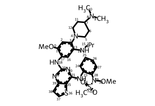 COc1cc(N2CCC(N(C)C)CC2)c(NC(C)C)cc1Nc1nc(Nc2ccccc2N(OC)S(C)(=O)=O)c2sccc2n1